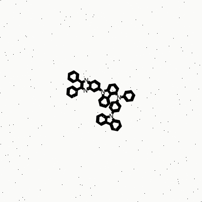 c1ccc(-c2nc3ccc(-n4c5ccccc5c5c(N(c6ccccc6)c6ccc(-n7c8ccccc8c8ccccc87)cc6)cccc54)cc3nc2-c2ccccc2)cc1